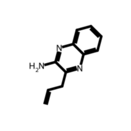 C=CCc1nc2ccccc2nc1N